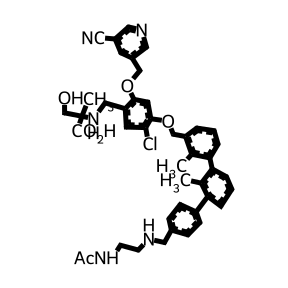 CC(=O)NCCNCc1ccc(-c2cccc(-c3cccc(COc4cc(OCc5cncc(C#N)c5)c(CNC(C)(CO)C(=O)O)cc4Cl)c3C)c2C)cc1